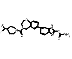 NC(=O)Oc1nc2ccc(-c3ccc4c(c3)CN(C(=O)N3CCC(C(F)F)CC3)CCO4)cc2[nH]1